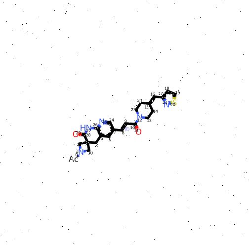 CC(=O)N1CC2(Cc3cc(/C=C/C(=O)N4CCC(=Cc5ccsn5)CC4)cnc3NC2=O)C1